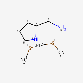 N#C[S][Pt][S]C#N.NCC1CCCN1